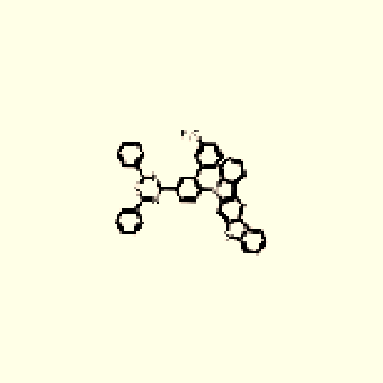 FC(F)(F)c1cccc(-c2cc(-c3nc(-c4ccccc4)nc(-c4ccccc4)n3)ccc2-n2c3ccccc3c3cc4c(cc32)sc2ccccc24)c1